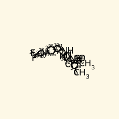 Cc1ccc(Nc2nc(Nc3ccc4c(c3)CC[C@H](N3CC5C(C3)C5(F)F)CC4)ncc2Cl)c(P(C)(C)=O)c1